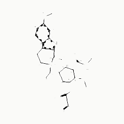 C=CC(=O)O[C@@H]1CC[C@H](C[C@@H]2c3[nH]c4cc(OC)ccc4c3CCN2CC)[C@H](C(=O)OC)[C@H]1OC